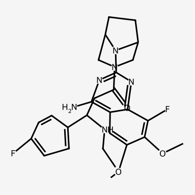 CCNC(CC(=O)N1CC2CCC(C1)N2c1nc(N)c2cc(OC)c(OC)c(F)c2n1)c1ccc(F)cc1